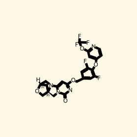 O=c1nc(OCc2cc(F)c(Oc3ccnc(OC(F)(F)F)c3)c(F)c2)cc2n1C[C@]13CO[C@H](CN21)C3